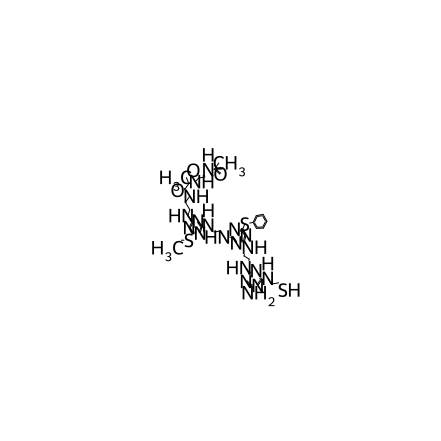 CCSc1nc(NCCNC(=O)C(C)NC(=O)CNC(C)=O)nc(NCCNc2nc(NCCNc3nc(N)nc(NCCS)n3)nc(Sc3ccccc3)n2)n1